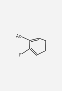 CC(=O)C1=CCCC=C1F